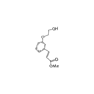 COC(=O)C=Cc1cccc(OCCO)c1